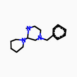 c1ccc(CN2CC[N]C(N3CCCCC3)C2)cc1